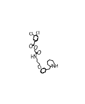 O=C(COC(=O)c1ccc(Cl)c(Cl)c1)NCCCOc1cccc(CC2CCCCCN2)c1